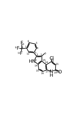 Cc1c(-c2cccc(C(F)(F)F)c2)[nH]c2ccc3[nH]c(=O)cc(Cl)c3c12